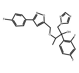 CC(OCc1cc(-c2ccc(F)cc2)no1)C(O)(Cn1cncn1)c1ccc(F)cc1F